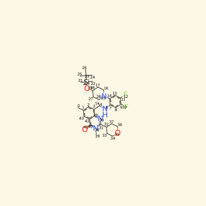 Cc1cc([C@@H](C)Nc2cc(F)c(F)cc2N2CCC(O[Si](C)(C)C(C)(C)C)CC2)c2nc(C3CCOCC3)n(C)c(=O)c2c1